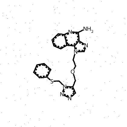 Nc1nc2ccccc2c2c1ncn2CCOCc1cnnn1CSc1ccccc1